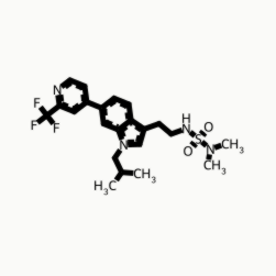 CC(C)Cn1cc(CCNS(=O)(=O)N(C)C)c2ccc(-c3ccnc(C(F)(F)F)c3)cc21